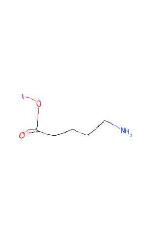 NCCCCC(=O)OI